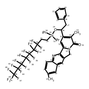 Cc1ccc2nc3c(cc2c1)Cn1c-3cc(C(Cc2ccccc2)O[Si](CCC(F)(F)C(F)(F)C(F)(F)C(F)(F)C(F)(F)C(F)(F)C(F)(F)C(F)(F)F)(C(C)C)C(C)C)c(C)c1=O